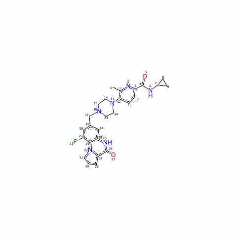 Cc1nc(C(=O)NC2CC2)ccc1N1CCN(Cc2cc(F)c3c(c2)[nH]c(=O)c2cccn23)CC1